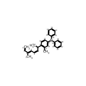 C=C/C(C)=C/C=C\C(C)c1ccc(N(c2ccccc2)c2ccccc2)cc1C